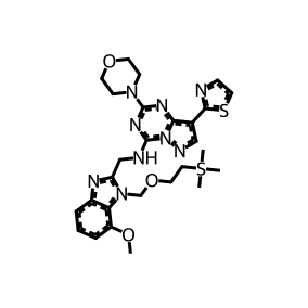 COc1cccc2nc(CNc3nc(N4CCOCC4)nc4c(-c5nccs5)cnn34)n(COCCS(C)(C)C)c12